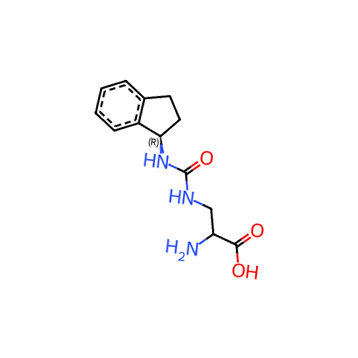 NC(CNC(=O)N[C@@H]1CCc2ccccc21)C(=O)O